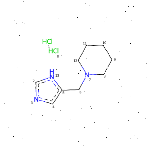 Cl.Cl.c1ncc(CN2CCCCC2)[nH]1